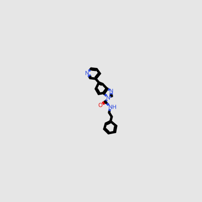 O=C(NCCc1ccccc1)n1cnc2cc(-c3cccnc3)ccc21